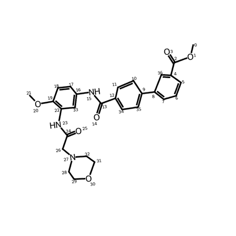 COC(=O)c1cccc(-c2ccc(C(=O)Nc3ccc(OC)c(NC(=O)CN4CCOCC4)c3)cc2)c1